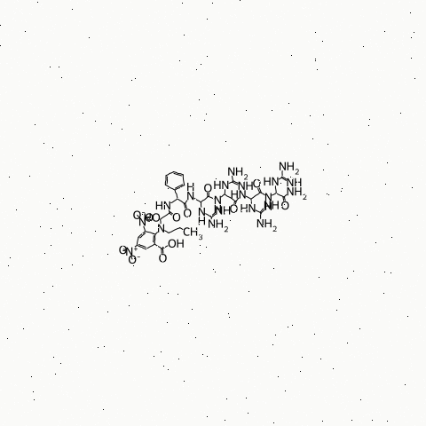 CCCN(c1c(C(=O)O)cc([N+](=O)[O-])cc1[N+](=O)[O-])C(O)C(=O)NC(C(=O)NC(NC(=N)N)C(=O)NC(NC(=N)N)C(=O)NC(NC(=N)N)C(=O)NC(NC(=N)N)C(N)=O)c1ccccc1